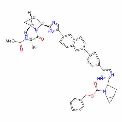 COC(=O)N[C@H](C(=O)N1[C@@H]2C[C@@H]2C[C@H]1c1ncc(-c2ccc3cc(-c4ccc(-c5cnc(C6CC7CC7N6C(=O)OCc6ccccc6)[nH]5)cc4)ccc3c2)[nH]1)C(C)C